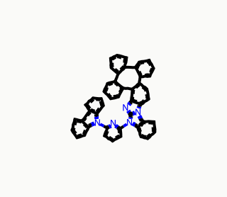 c1cc(-n2c3ccccc3c3ccccc32)nc(-n2c3ccccc3n3c4ccc5c(c4nc23)-c2ccccc2-c2ccccc2-c2ccccc2-5)c1